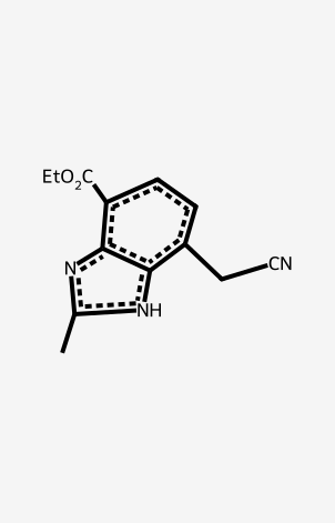 CCOC(=O)c1ccc(CC#N)c2[nH]c(C)nc12